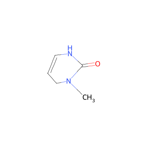 CN1CC=CNC1=O